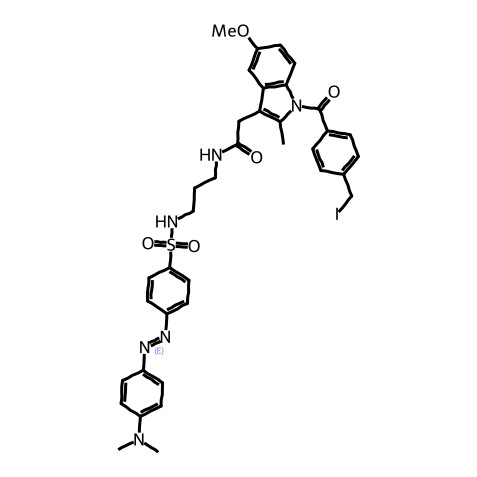 COc1ccc2c(c1)c(CC(=O)NCCCNS(=O)(=O)c1ccc(/N=N/c3ccc(N(C)C)cc3)cc1)c(C)n2C(=O)c1ccc(CI)cc1